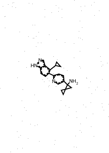 NC1(c2ccc(-c3ccc4[nH]ncc4c3C3CC3)nc2)CC12CC2